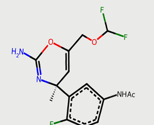 CC(=O)Nc1ccc(F)c([C@]2(C)C=C(COC(F)F)OC(N)=N2)c1